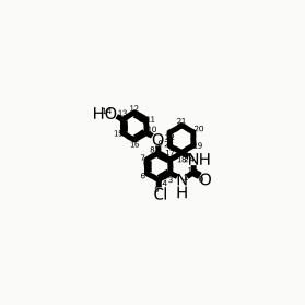 O=C1Nc2c(Cl)ccc(Oc3ccc(O)cc3)c2C2(CCCCC2)N1